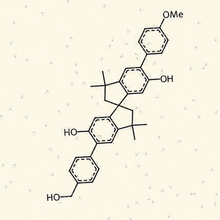 COc1ccc(-c2cc3c(cc2O)C2(CC(C)(C)c4cc(-c5ccc(CO)cc5)c(O)cc42)CC3(C)C)cc1